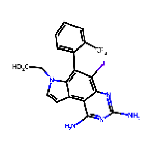 Nc1nc(N)c2c(n1)c(I)c(-c1ccccc1C(F)(F)F)c1c2ccn1CC(=O)O